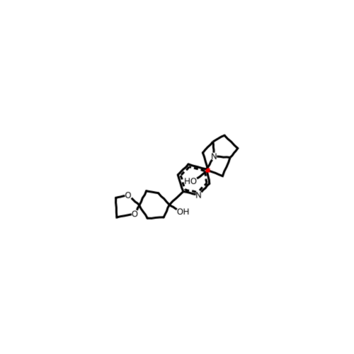 OC1CC2CCC(C1)N2c1ccc(C2(O)CCC3(CC2)OCCO3)nc1